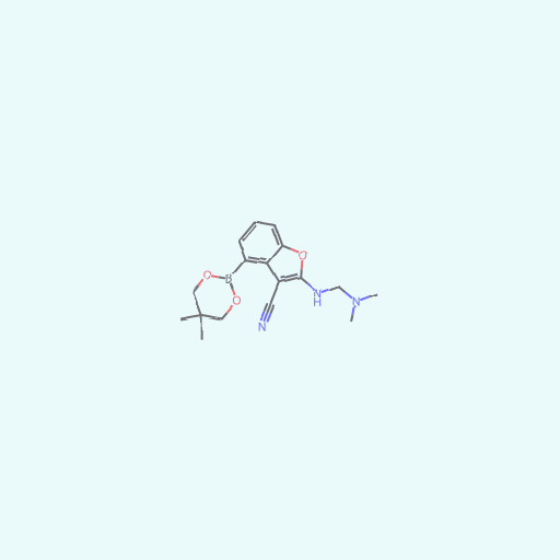 CN(C)CNc1oc2cccc(B3OCC(C)(C)CO3)c2c1C#N